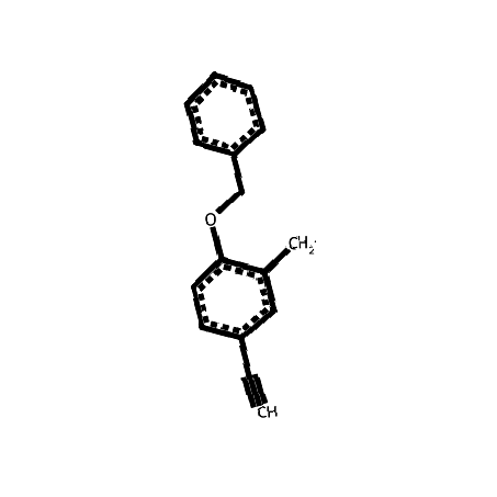 C#Cc1ccc(OCc2ccccc2)c([CH2])c1